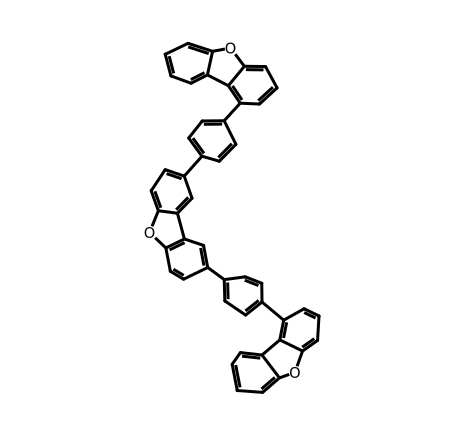 c1ccc2c(c1)oc1cccc(-c3ccc(-c4ccc5oc6ccc(-c7ccc(-c8cccc9oc%10ccccc%10c89)cc7)cc6c5c4)cc3)c12